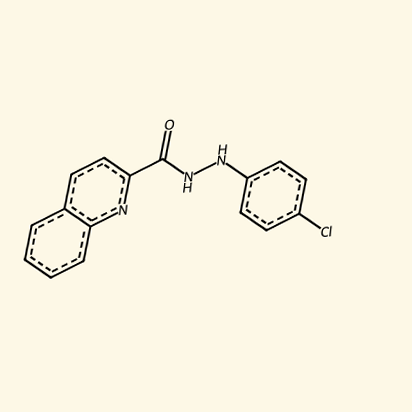 O=C(NNc1ccc(Cl)cc1)c1ccc2ccccc2n1